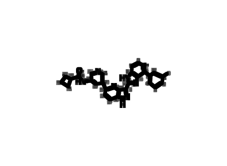 Cc1cccc(-c2nccc3[nH]c(-c4n[nH]c5ccc(-c6cncc(NC(=O)C7CCC7)c6)nc45)nc23)c1